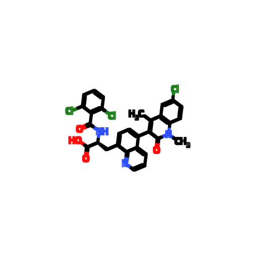 Cc1c(-c2ccc(C[C@H](NC(=O)c3c(Cl)cccc3Cl)C(=O)O)c3ncccc23)c(=O)n(C)c2ccc(Cl)cc12